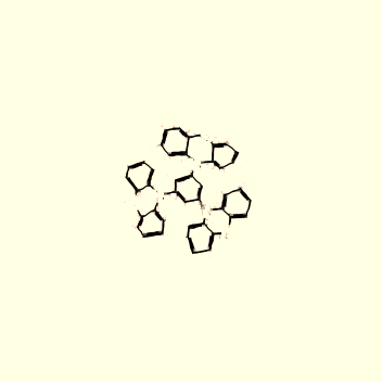 c1ccc2c(c1)Sc1ccccc1N2c1cc(N2c3ccccc3Sc3ccccc32)cc(N2c3ccccc3Sc3ccccc32)c1